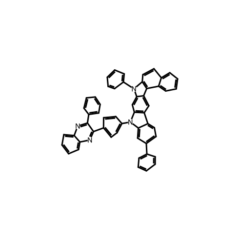 c1ccc(-c2ccc3c4cc5c6c7ccccc7ccc6n(-c6ccccc6)c5cc4n(-c4ccc(-c5nc6ccccc6nc5-c5ccccc5)cc4)c3c2)cc1